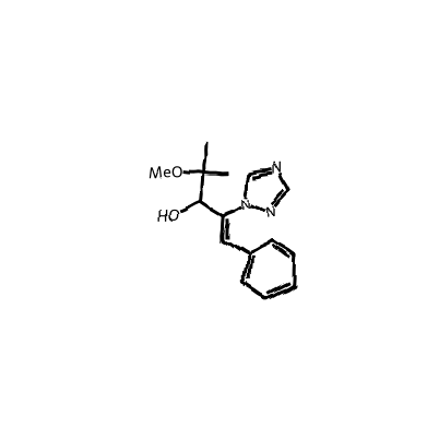 COC(C)(C)C(O)C(=Cc1ccccc1)n1cncn1